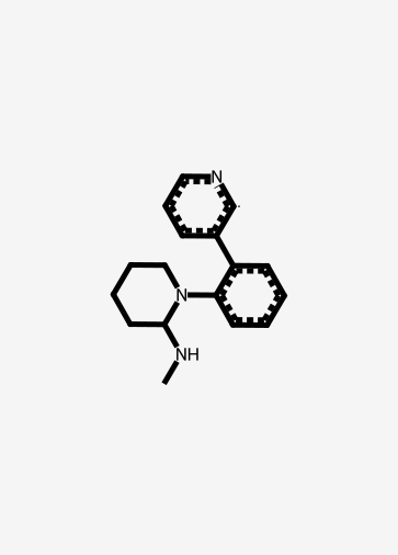 CNC1CCCCN1c1ccccc1-c1[c]nccc1